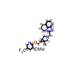 COc1cc(C(F)(F)F)cnc1OC[C@H]1C2CN(Cc3nc4nccc5c4n3CCC5)C[C@@H]21